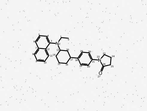 CCN(c1cccc2ccccc12)C1CCCC(c2ccc(N3CCCC3=O)cc2)C1